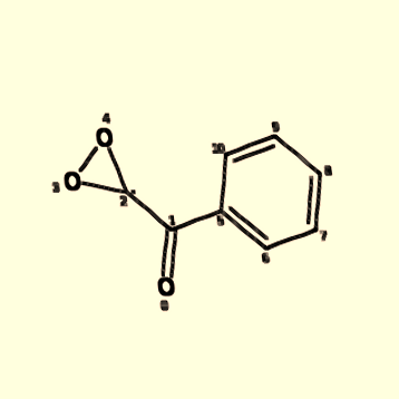 O=C([C]1OO1)c1ccccc1